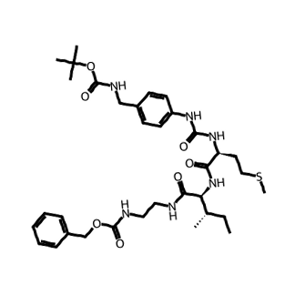 CC[C@H](C)[C@H](NC(=O)[C@H](CCSC)NC(=O)Nc1ccc(CNC(=O)OC(C)(C)C)cc1)C(=O)NCCNC(=O)OCc1ccccc1